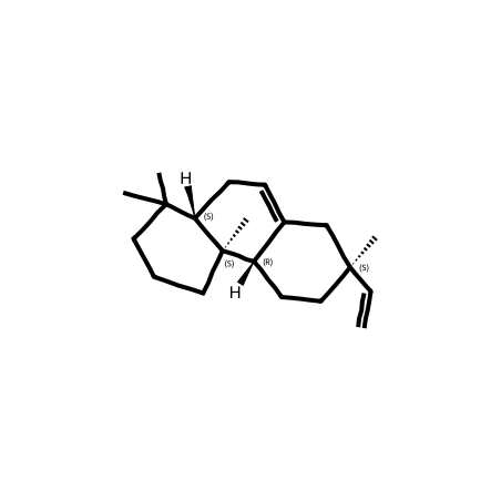 C=C[C@@]1(C)CC[C@H]2C(=CC[C@H]3C(C)(C)CCC[C@]23C)C1